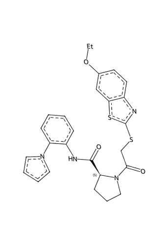 CCOc1ccc2nc(SCC(=O)N3CCC[C@H]3C(=O)Nc3ccccc3-n3cccc3)sc2c1